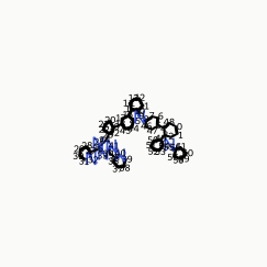 C1=CC2C(C(C3=CC=C(n4c5ccccc5c5cc(-c6cccc(-c7nc(-c8ccccn8)nc(-c8ccccn8)n7)c6)ccc54)CC3)=C1)c1ccccc1N2c1ccccc1